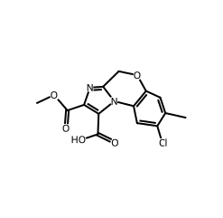 COC(=O)c1nc2n(c1C(=O)O)-c1cc(Cl)c(C)cc1OC2